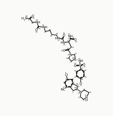 N#Cc1cc(Cl)cc2c1C[C@H](N1CCNCC1)[C@H]2Oc1ccc(S(=O)(=O)N[C@@H]2CCN(C(=O)CC(NC(=O)NCCCCNC(=O)NCC(N)=O)C(N)=O)C2)cc1